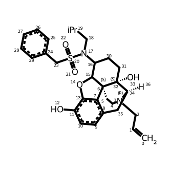 C=CCN1CC[C@]23c4c5ccc(O)c4OC2C(N(CC(C)C)S(=O)(=O)Cc2ccccc2)CC[C@@]3(O)[C@H]1C5